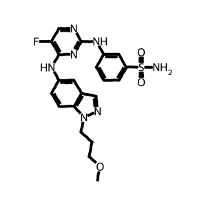 COCCCn1ncc2cc(Nc3nc(Nc4cccc(S(N)(=O)=O)c4)ncc3F)ccc21